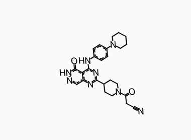 N#CCC(=O)N1CCC(c2nc(Nc3ccc(N4CCCCC4)cc3)c3c(=O)[nH]ncc3n2)CC1